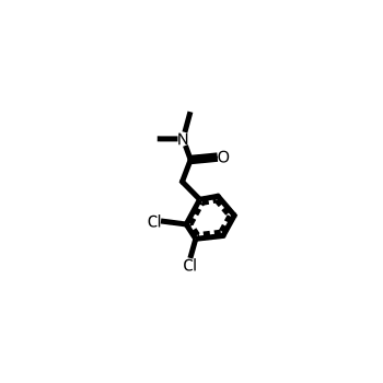 CN(C)C(=O)Cc1cccc(Cl)c1Cl